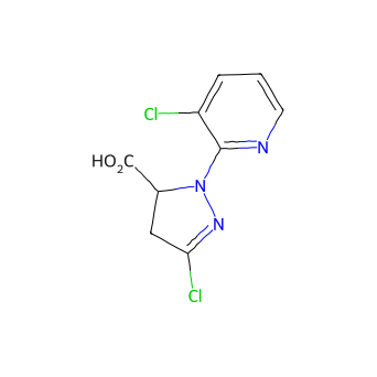 O=C(O)C1CC(Cl)=NN1c1ncccc1Cl